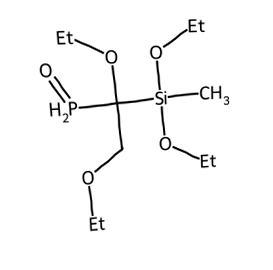 CCOCC(OCC)([PH2]=O)[Si](C)(OCC)OCC